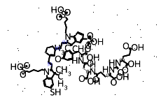 CC1(C)C(/C=C/C2=C(Oc3ccc(C[C@H](NC(=O)C[C@H](NC(=O)CC[C@H](NC(=O)N[C@@H](CCC(=O)O)C(=O)O)C(=O)O)C(=O)O)C(=O)O)cc3)C(=C/C=C3/N(CCCCS(=O)(=O)O)c4ccc(S(=O)(=O)O)cc4C3(C)C)/CCC2)=[N+](CCCCS(=O)(=O)O)c2ccc(S)cc21